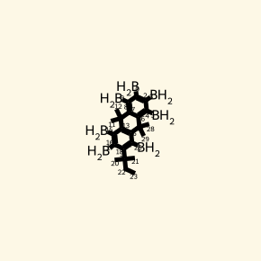 Bc1c(B)c(B)c2c(c1B)C(C)(C)c1c(B)c(B)c(C(C)(C)CC)c(B)c1C2(C)C